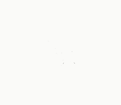 CC[C@H]1O[C@@H](n2ccc(=O)c3nccn32)[C@H](O)[C@@H]1C